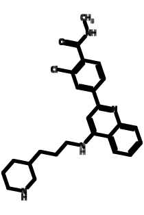 CNC(=O)c1ccc(-c2cc(NCCCC3CCCNC3)c3ccccc3n2)cc1Cl